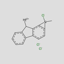 C[Si]1(Cl)c2ccc3c(c21)[CH]([Hf+2])c1ccccc1-3.[Cl-].[Cl-]